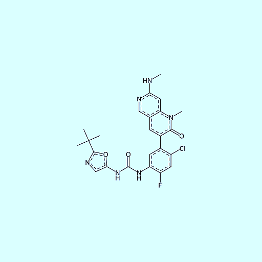 CNc1cc2c(cn1)cc(-c1cc(NC(=O)Nc3cnc(C(C)(C)C)o3)c(F)cc1Cl)c(=O)n2C